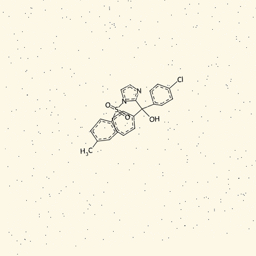 Cc1ccc(S(=O)(=O)n2ccnc2C(O)(c2ccccc2)c2ccc(Cl)cc2)cc1